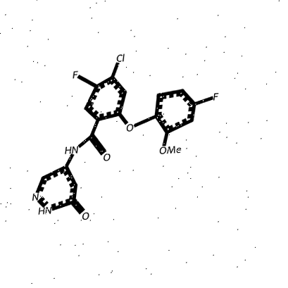 COc1cc(F)ccc1Oc1cc(Cl)c(F)cc1C(=O)Nc1cn[nH]c(=O)c1